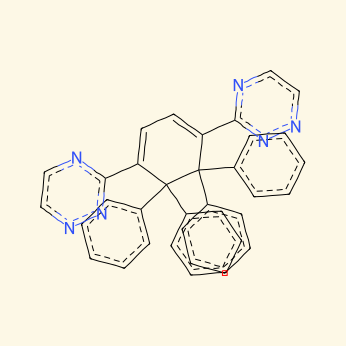 C1=C(c2nccnn2)C(c2ccccc2)(c2ccccc2)C(c2ccccc2)(c2ccccc2)C(c2nccnn2)=C1